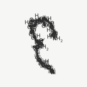 C=C1C[C@@H](C(OCC)n2cnc(CCC(=O)NCCN3C(=O)C=C(SC[C@@H](NC(=O)[C@H](C)NC(=O)[C@@H](CCC(=O)O)NC(=O)[C@H](C)NC(=O)[C@@H](CCC(=O)O)NC(=O)[C@H](C)NC(=O)CCCNC(=O)c4ccc(NCc5cnc6nc(N)[nH]c(=O)c6n5)cc4)C(=O)O)C3=O)c2)N(C(=O)c2cc(OC)c(OCCCCCOc3ccc(-c4nc5ccc(-c6nc7cc(N8CCN(C)CC8)ccc7[nH]6)cc5[nH]4)cc3)cc2N)C1